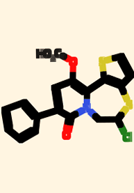 O=C(O)Oc1cc(-c2ccccc2)c(=O)n2c1-c1sccc1SC(Cl)C2